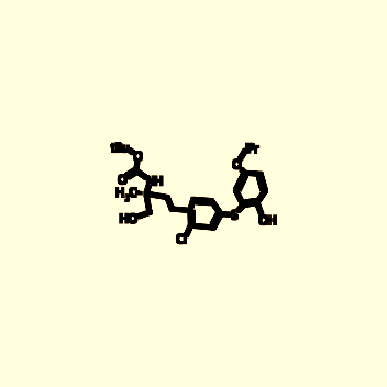 CC(C)Oc1ccc(O)c(Sc2ccc(CC[C@@](C)(CO)NC(=O)OC(C)(C)C)c(Cl)c2)c1